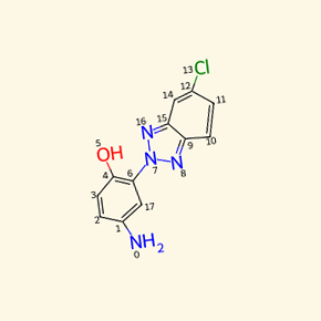 Nc1ccc(O)c(-n2nc3ccc(Cl)cc3n2)c1